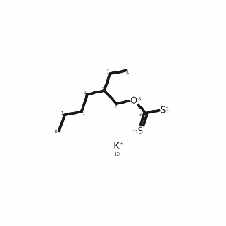 CCCCC(CC)COC(=S)[S-].[K+]